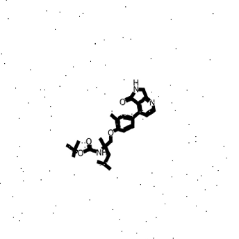 Cc1cc(-c2ccnc3c2C(=O)NC3)ccc1OCC(C)(CC(C)C)NC(=O)OC(C)(C)C